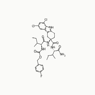 CCC(C)[C@H](NC(=O)[C@@]1(NC(=O)[C@@H](NC(=O)OCc2ccc(F)cc2)C(C)CC)CCc2[nH]c3c(Cl)cc(Cl)cc3c2C1)C(N)=O